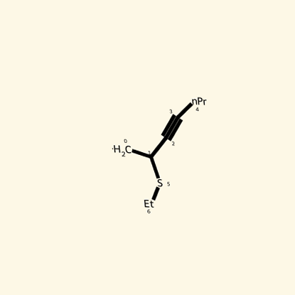 [CH2]C(C#CCCC)SCC